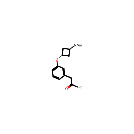 CN[C@H]1C[C@H](Oc2cccc(CC(=O)C(C)C)c2)C1